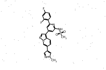 Cn1cc(-c2ccc3c(-c4cc(NS(C)(=O)=O)nc(-c5ccc(F)cc5F)c4)cnn3c2)cn1